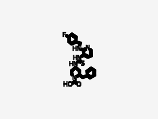 O=C(O)N1CCC(NC(=S)Nc2cccnc2NCc2ccc(F)cc2)CC1Cc1ccccc1